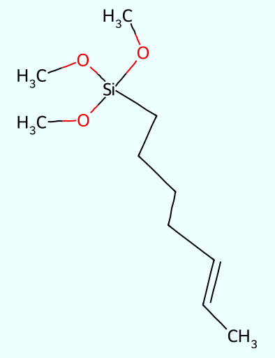 CC=CCCCC[Si](OC)(OC)OC